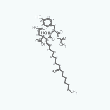 CCCCCCCC(=O)CCCCCC/C=C/[C@H](C(=O)N[C@@H](Cc1ccc(O)cc1)C(=O)OC(C)=O)[C@@](O)(CC(=O)O)C(=O)O